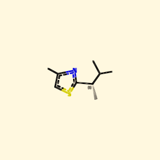 Cc1csc([C@@H](C)C(C)C)n1